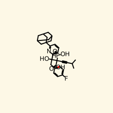 CC(C)C#CC(C(=O)O)([PH](=O)O)C(O)(Cc1ccc(F)cc1)c1cccc(C23CC4CC(CC(C4)C2)C3)n1